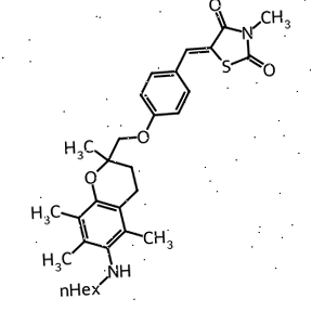 CCCCCCNc1c(C)c(C)c2c(c1C)CCC(C)(COc1ccc(/C=C3\SC(=O)N(C)C3=O)cc1)O2